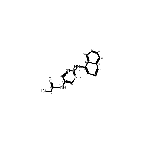 O=C(CS)Nc1cnc(Nc2cccc3ccccc23)nc1